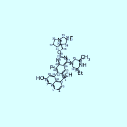 C#Cc1cccc2cc(O)cc(-c3c(F)cc4c(N5C[C@@H](CC)N[C@H](C)C5)nc(OC[C@@]56CCCN5C[C@H](F)C6)nc4c3F)c12